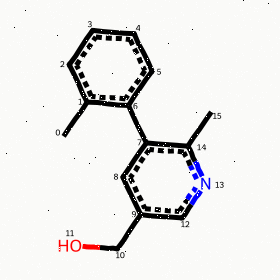 Cc1ccccc1-c1cc(CO)cnc1C